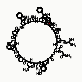 CCCC[C@H]1C(=O)N(C)[C@@H](CCCC)C(=O)N[C@@H](CCCNC(=N)N)C(=O)N[C@H](C(=O)NCC(N)=O)CSCC(=O)N[C@@H](Cc2ccc(O)cc2)C(=O)N(C)[C@@H](C)C(=O)N[C@@H](CC(N)=O)C(=O)N2CCC[C@H]2C(=O)N[C@@H](Cc2cnc[nH]2)C(=O)N[C@@H](CC(C)C)C(=O)N2CCC[C@H]2C(=O)N[C@@H](Cc2c[nH]c3ccccc23)C(=O)N[C@@H](CO)C(=O)N[C@@H](Cc2c(-c3ccccc3)[nH]c3ccccc23)C(=O)N1C